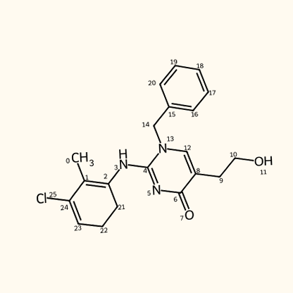 CC1=C(Nc2nc(=O)c(CCO)cn2Cc2ccccc2)CCC=C1Cl